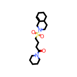 O=C(CCCS(=O)(=O)N1CCC2CCCC=C2C1)N1CCCCC1